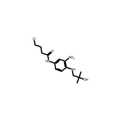 CC(C)(O)CNc1ccc(NC(=O)CCCCl)cc1[N+](=O)[O-]